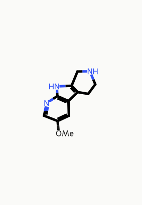 COc1cnc2[nH]c3c(c2c1)CCNC3